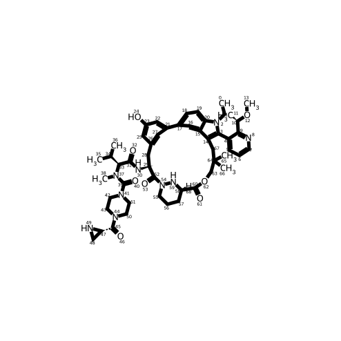 CCn1c(-c2cccnc2[C@H](C)OC)c2c3cc(ccc31)-c1cc(O)cc(c1)C[C@H](NC(=O)[C@H](C(C)C)N(C)C(=O)N1CCN(C(=O)[C@@H]3CN3)CC1)C(=O)N1CCC[C@H](N1)C(=O)OCC(C)(C)C2